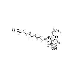 C=CC(=O)NC(C)(CCCCCCCCCCCC)S(=O)(=O)O